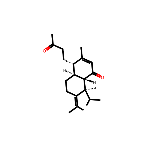 CC(=O)CC[C@@H]1C(C)=CC(=O)[C@H]2[C@H]1CCC(=C(C)C)[C@]2(C)C(C)C